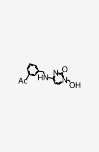 CC(=O)c1cccc(CNc2ccn(CO)c(=O)n2)c1